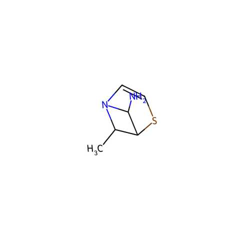 CC1C2SC=CN1C2N